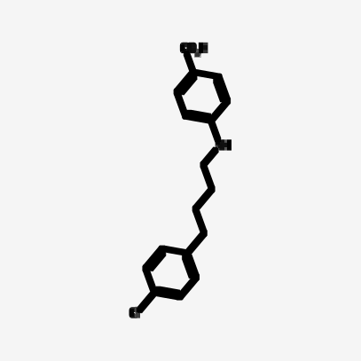 O=C(O)c1ccc(NCCCCc2ccc(Cl)cc2)cc1